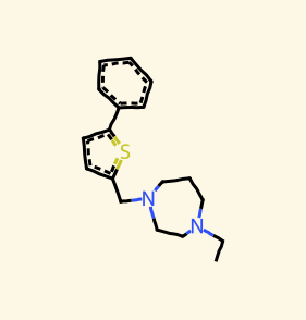 CCN1CCCN(Cc2ccc(-c3ccccc3)s2)CC1